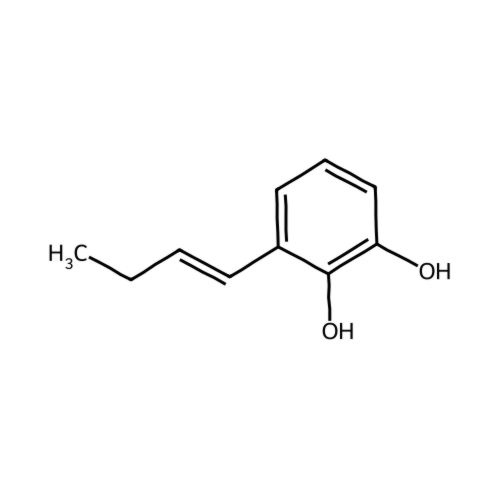 CC/C=C/c1cccc(O)c1O